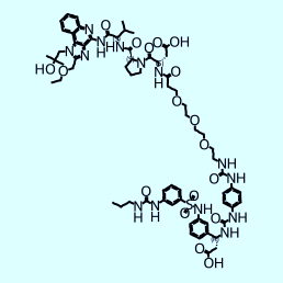 CCCNC(=O)Nc1cccc(S(=O)(=O)Nc2cccc([C@@H](CC(=O)O)NC(=O)Nc3ccc(NC(=O)NCCOCCOCCOCCC(=O)N[C@@H](CC(=O)O)C(=O)N4CCC[C@H]4C(=O)N[C@H](C(=O)Nc4nc5ccccc5c5c4nc(COCC)n5CC(C)(C)O)C(C)C)cc3)c2)c1